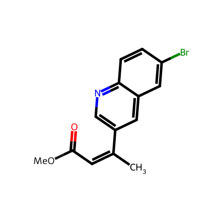 COC(=O)/C=C(/C)c1cnc2ccc(Br)cc2c1